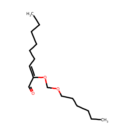 CCCCCCC=C(C=O)OCOCCCCCC